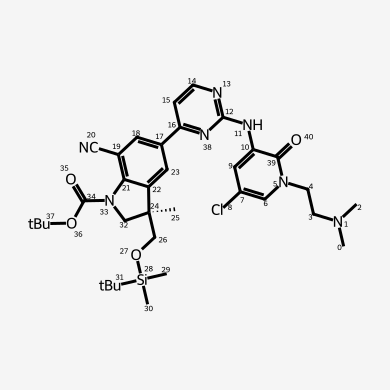 CN(C)CCn1cc(Cl)cc(Nc2nccc(-c3cc(C#N)c4c(c3)[C@@](C)(CO[Si](C)(C)C(C)(C)C)CN4C(=O)OC(C)(C)C)n2)c1=O